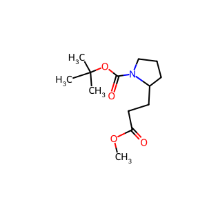 COC(=O)CCC1CCCN1C(=O)OC(C)(C)C